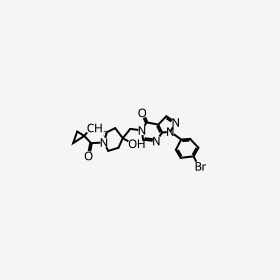 CC1(C(=O)N2CCC(O)(Cn3cnc4c(cnn4-c4ccc(Br)cc4)c3=O)CC2)CC1